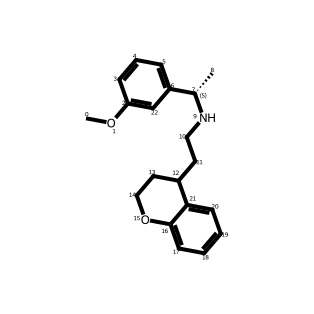 COc1cccc([C@H](C)NCCC2CCOc3ccccc32)c1